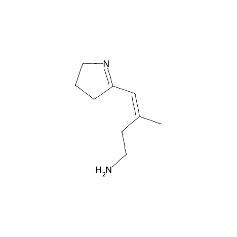 CC(=CC1=NCCC1)CCN